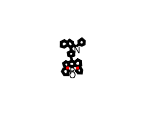 O=P(c1ccccc1)(c1ccccc1)c1c2ccccc2c(-c2ccc3c(c2)nc(-c2ccccc2)c2ccc4ccccc4c23)c2ccccc12